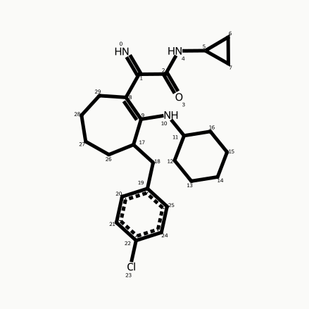 N=C(C(=O)NC1CC1)C1=C(NC2CCCCC2)C(Cc2ccc(Cl)cc2)CCCC1